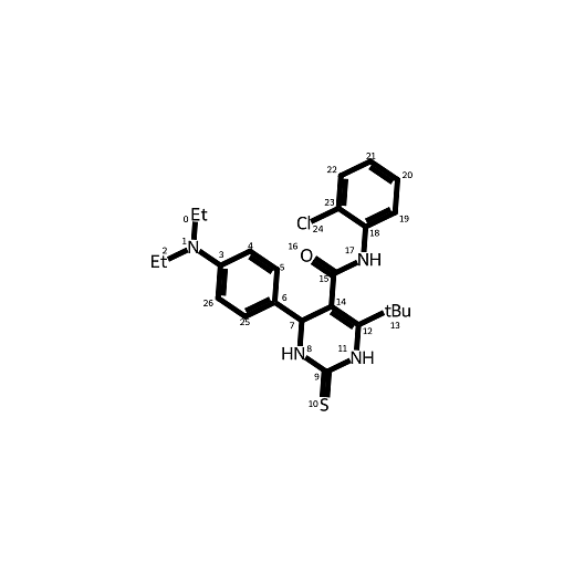 CCN(CC)c1ccc(C2NC(=S)NC(C(C)(C)C)=C2C(=O)Nc2ccccc2Cl)cc1